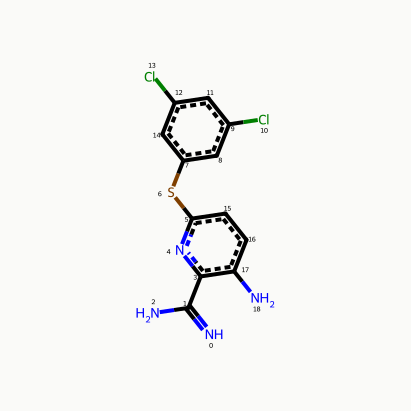 N=C(N)c1nc(Sc2cc(Cl)cc(Cl)c2)ccc1N